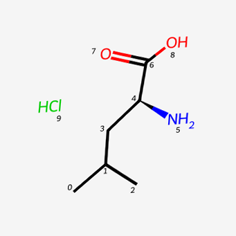 CC(C)C[C@H](N)C(=O)O.Cl